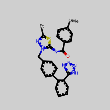 CCc1nn(Cc2ccc(-c3ccccc3-c3nnn[nH]3)cc2)c(=NC(=O)c2ccc(OC)cc2)s1